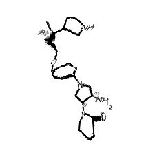 C[C@H](CCOc1ccc(N2C[C@H](N)[C@@H](N3CCCCC3=O)C2)nc1)C1CCNCC1